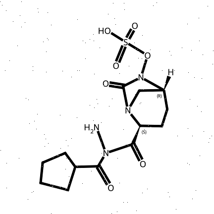 NN(C(=O)C1CCCC1)C(=O)[C@@H]1CC[C@@H]2CN1C(=O)N2OS(=O)(=O)O